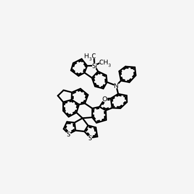 C[Si]1(C)c2ccccc2-c2ccc(N(c3ccccc3)c3cccc4c3oc3c5c(ccc34)C3(c4ccsc4-c4sccc43)c3ccc4c6c(ccc-5c36)CC4)cc21